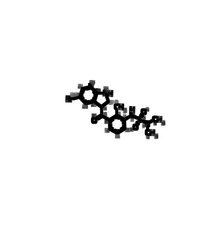 Cc1c(NS(=O)(=O)N(C)C)cccc1C(=O)C1CNc2ncc(Br)cc21